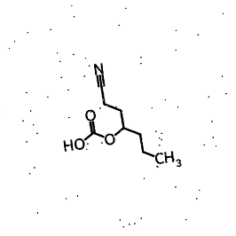 CCCC(CCC#N)OC(=O)O